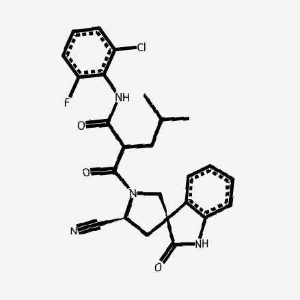 CC(C)CC(C(=O)Nc1c(F)cccc1Cl)C(=O)N1C[C@]2(C[C@H]1C#N)C(=O)Nc1ccccc12